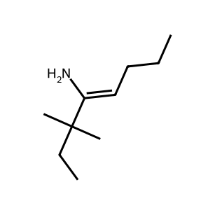 CCC/C=C(\N)C(C)(C)CC